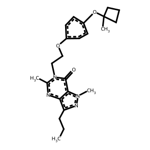 CCCc1nn(C)c2c(=O)n(CCOc3ccc(OC4(C)CCC4)cc3)c(C)nc12